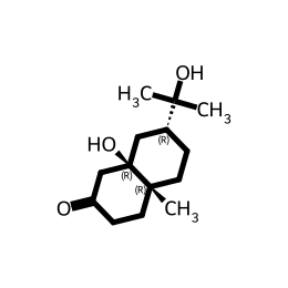 CC(C)(O)[C@@H]1CC[C@]2(C)CCC(=O)C[C@]2(O)C1